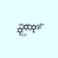 CP(=O)(O)Cc1cc(Br)c(Oc2ccc(O)c(-c3cccc(C(=O)O)c3)c2)c(Br)c1